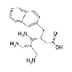 N/C=C(/CN)N(N)C(CC(=O)O)Cc1ccc2ccccc2c1